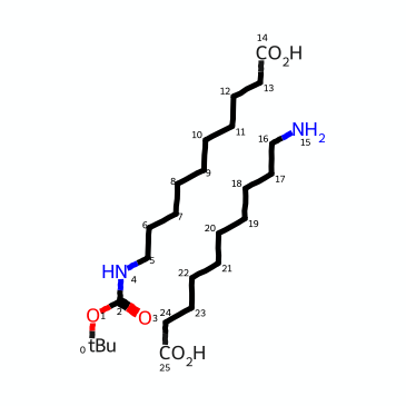 CC(C)(C)OC(=O)NCCCCCCCCCC(=O)O.NCCCCCCCCCC(=O)O